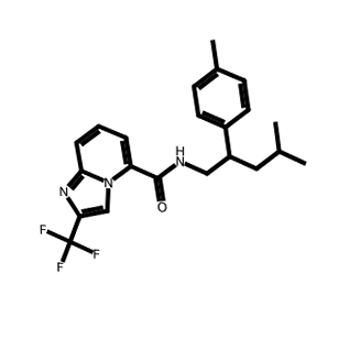 Cc1ccc(C(CNC(=O)c2cccc3nc(C(F)(F)F)cn23)CC(C)C)cc1